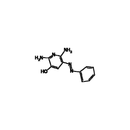 Nc1nc(N)c(N=Nc2ccccc2)cc1O